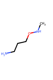 CNOCCCN